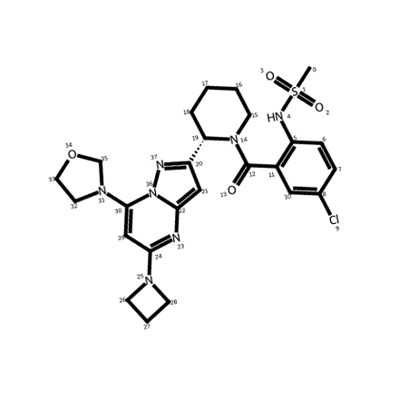 CS(=O)(=O)Nc1ccc(Cl)cc1C(=O)N1CCCC[C@H]1c1cc2nc(N3CCC3)cc(N3CCOC3)n2n1